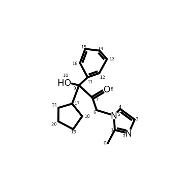 Cc1nccn1CC(=O)C(O)(c1ccccc1)C1CCCC1